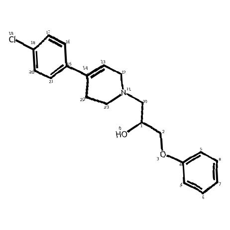 OC(COc1[c]cccc1)CN1CC=C(c2ccc(Cl)cc2)CC1